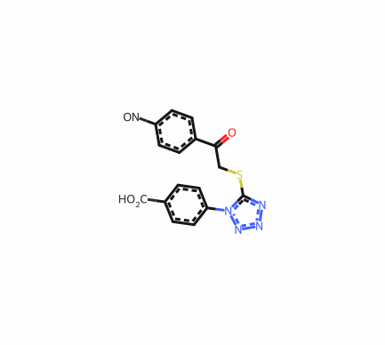 O=Nc1ccc(C(=O)CSc2nnnn2-c2ccc(C(=O)O)cc2)cc1